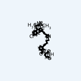 Cc1c(C#Cc2cnn(CCCC#Cc3cccc4c3CN(C3CCC(=O)NC3=O)C4=O)c2)sc2c1C(c1ccc(Cl)cc1)=N[C@@H](C)c1nnc(C)n1-2